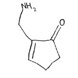 NCC1=CCCC1=O